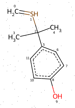 C=[SH]C(C)(C)c1ccc(O)cc1